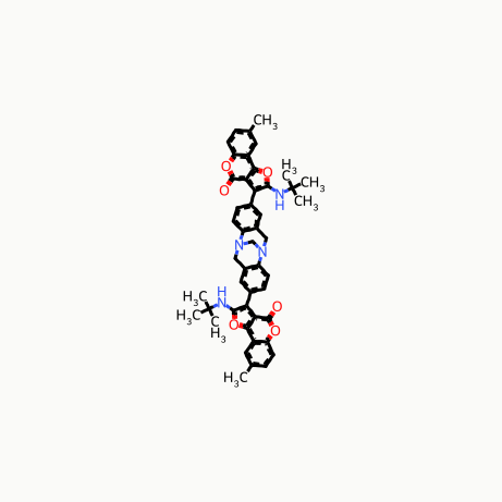 Cc1ccc2oc(=O)c3c(-c4ccc5c(c4)CN4CN5Cc5cc(-c6c(NC(C)(C)C)oc7c6c(=O)oc6ccc(C)cc67)ccc54)c(NC(C)(C)C)oc3c2c1